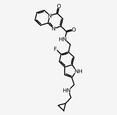 O=C(NCc1cc2[nH]c(CNCC3CC3)cc2cc1F)c1cc(=O)n2ccccc2n1